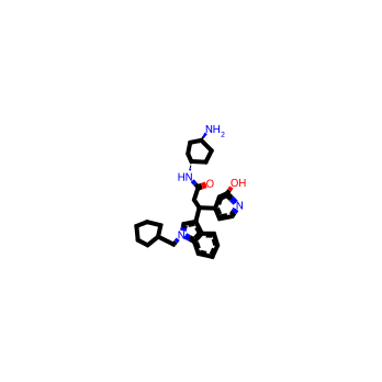 N[C@H]1CC[C@H](NC(=O)CC(c2ccnc(O)c2)c2cn(CC3CCCCC3)c3ccccc23)CC1